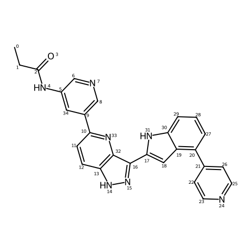 CCC(=O)Nc1cncc(-c2ccc3[nH]nc(-c4cc5c(-c6ccncc6)cccc5[nH]4)c3n2)c1